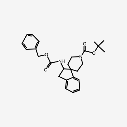 CC(C)(C)OC(=O)N1CCC2(CC1)c1ccccc1CC2NC(=O)OCc1ccccc1